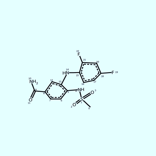 CS(=O)(=O)Nc1ccc(C(N)=O)cc1Nc1ccc(F)cc1F